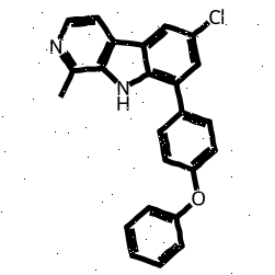 Cc1nccc2c1[nH]c1c(-c3ccc(Oc4ccccc4)cc3)cc(Cl)cc12